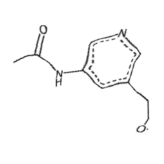 CC(=O)Nc1cncc(C[O])c1